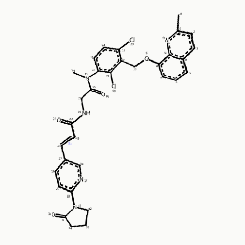 Cc1ccc2cccc(OCc3c(Cl)ccc(N(C)C(=O)CNC(=O)/C=C/c4ccc(N5CCCC5=O)nc4)c3Cl)c2n1